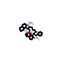 C=C(/C=C/C=C1/N(C)c2ccc3ccccc3c2C1(C)Cc1ccccc1)C(C)(Cc1ccccc1)c1c(C)ccc2ccccc12